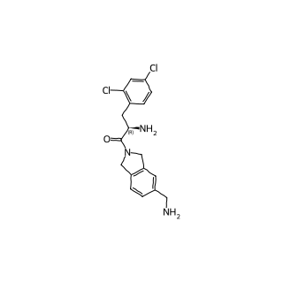 NCc1ccc2c(c1)CN(C(=O)[C@H](N)Cc1ccc(Cl)cc1Cl)C2